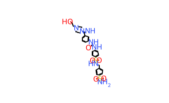 N=C(c1cccc(NC(=O)Nc2ccc(S(=O)(=O)NCc3ccc(S(N)(=O)=O)cc3)cc2)c1)N1CCN(CCO)CC1